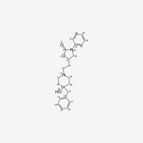 O=C1OC(CCN2CCC(O)(Cc3ccccc3)CC2)CN1c1ccccc1